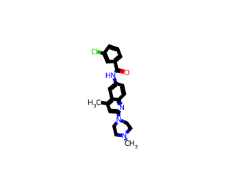 Cc1cc(N2CCN(C)CC2)nc2ccc(NC(=O)c3cccc(Cl)c3)cc12